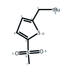 CC(C)(C)Cc1ccc(S(C)(=O)=O)s1